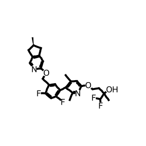 Cc1cc(OCCC(C)(O)C(F)F)nc(C)c1-c1cc(COc2cc3c(cn2)C[C@@H](C)C3)c(F)cc1F